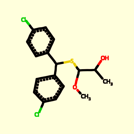 COC(SC(c1ccc(Cl)cc1)c1ccc(Cl)cc1)C(C)O